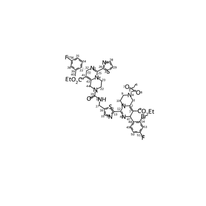 CCOC(=O)C1=C2CN(S(C)(=O)=O)CCN2C(c2ncc(CNC(=O)N3CCN4C(c5nccs5)=N[C@@H](c5ccc(F)cc5C)C(C(=O)OCC)=C4C3)s2)=NC1c1ccc(F)cc1Br